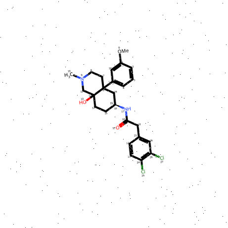 COc1cccc(C23CCN(C)CC2(O)CC[C@H](NC(=O)Cc2ccc(Cl)c(Cl)c2)C3)c1